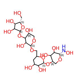 OC[C@@H]1O[C@@H](OC2C(O)[C@H](OCC3CC(O)C(O)[C@H](O[C@@H]4CO[C@@H](NO)C(O)C4O)O3)OC[C@H]2O)C(O)C1O